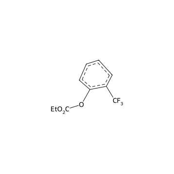 CCOC(=O)Oc1ccccc1C(F)(F)F